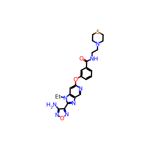 CCn1c(-c2nonc2N)nc2cnc(Oc3cccc(C(=O)NCCN4CCSCC4)c3)cc21